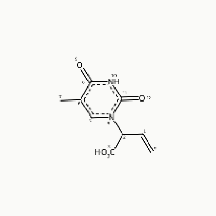 C=CC(C(=O)O)n1cc(C)c(=O)[nH]c1=O